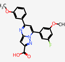 COc1cccc(-c2cc(-c3cc(F)cc(OC)c3)n3nc(C(=O)O)cc3n2)c1